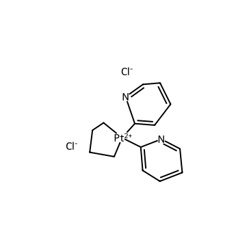 [Cl-].[Cl-].c1cc[c]([Pt+2]2([c]3ccccn3)[CH2]CC[CH2]2)nc1